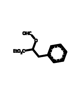 CCOC(=O)C(Cc1ccccc1)OC=O